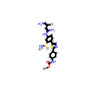 CCN[S+]([O-])c1cc(N/C(N)=C/C(=C\N)CC)ccc1-c1cnc(C2CCC(NC(=O)OC(C)C)CC2)s1